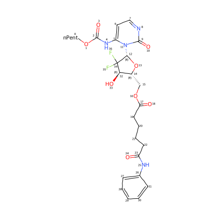 CCCCCOC(=O)Nc1ccnc(=O)n1[C@@H]1O[C@H](COC(=O)CCCCC(=O)Nc2ccccc2)[C@@H](O)C1(F)F